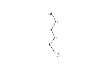 CSC[CH]CO